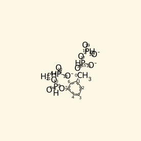 Cc1ccccc1.O=[PH]([O-])O[PH](=O)[O-].O=[PH]([O-])O[PH](=O)[O-].[Hf+4]